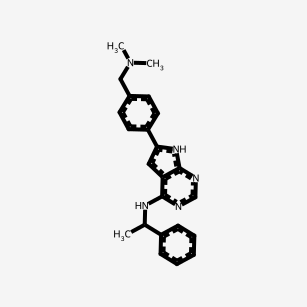 CC(Nc1ncnc2[nH]c(-c3ccc(CN(C)C)cc3)cc12)c1ccccc1